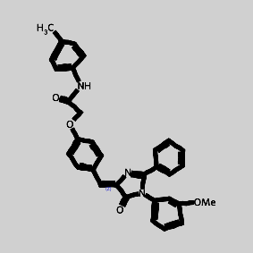 COc1cccc(N2C(=O)/C(=C/c3ccc(OCC(=O)Nc4ccc(C)cc4)cc3)N=C2c2ccccc2)c1